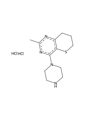 Cc1nc2c(c(N3CCNCC3)n1)SCCC2.Cl.Cl